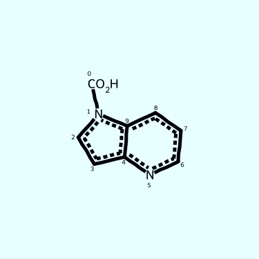 O=C(O)n1ccc2ncccc21